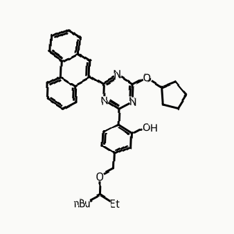 CCCCC(CC)OCc1ccc(-c2nc(OC3CCCC3)nc(-c3cc4ccccc4c4ccccc34)n2)c(O)c1